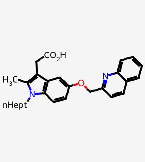 CCCCCCCn1c(C)c(CC(=O)O)c2cc(OCc3ccc4ccccc4n3)ccc21